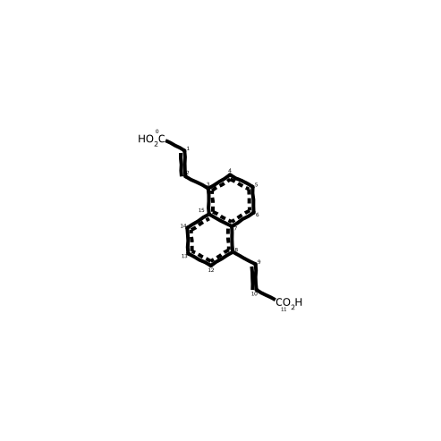 O=C(O)/C=C/c1cccc2c(/C=C/C(=O)O)cccc12